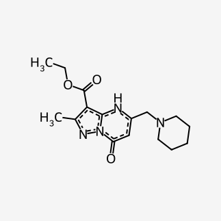 CCOC(=O)c1c(C)nn2c(=O)cc(CN3CCCCC3)[nH]c12